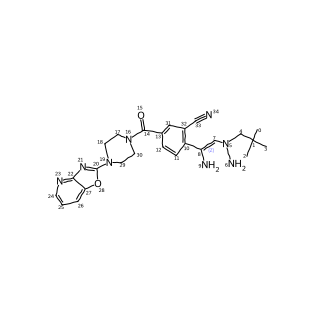 CC(C)(C)CN(N)/C=C(\N)c1ccc(C(=O)N2CCN(c3nc4ncccc4o3)CC2)cc1C#N